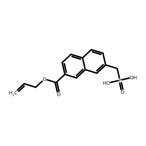 C=CCOC(=O)c1ccc2ccc(CP(=O)(O)O)cc2c1